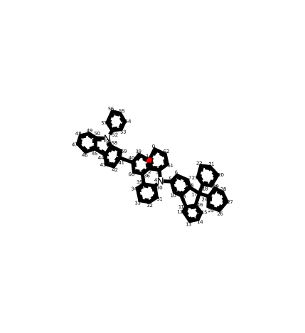 c1ccc(N(c2ccc3c(c2)-c2ccccc2C3(c2ccccc2)c2ccccc2)c2ccccc2-c2cccc(-c3ccc4c5ccccc5n(-c5ccccc5)c4c3)c2)cc1